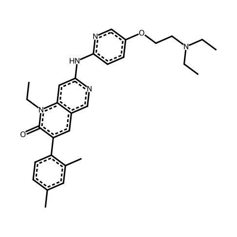 CCN(CC)CCOc1ccc(Nc2cc3c(cn2)cc(-c2ccc(C)cc2C)c(=O)n3CC)nc1